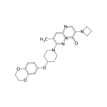 Cc1cc2ncc(N3CCC3)c(=O)n2nc1N1CCC(Oc2ccc3c(c2)OCCO3)CC1